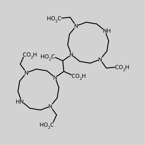 O=C(O)CN1CCNCCN(CC(=O)O)CCN(C(C(=O)O)C(C(=O)O)N2CCN(CC(=O)O)CCNCCN(CC(=O)O)CC2)CC1